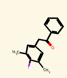 Cc1cc(CC(=O)c2ccccc2)cc(C)c1I